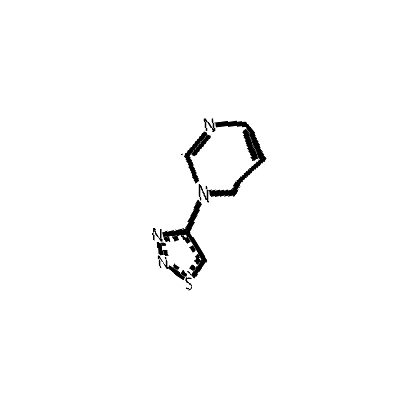 [C]1=NC=CCN1c1csnn1